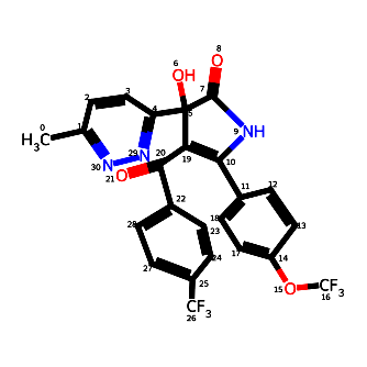 Cc1ccc(C2(O)C(=O)NC(c3ccc(OC(F)(F)F)cc3)=C2C(=O)c2ccc(C(F)(F)F)cc2)nn1